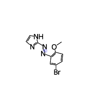 COc1ccc(Br)cc1/N=N/c1ncc[nH]1